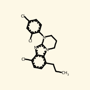 CCCc1ccc(Cl)c2nc3n(c12)CCCN3c1ccc(Cl)cc1Cl